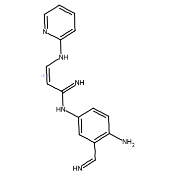 N=Cc1cc(NC(=N)/C=C\Nc2ccccn2)ccc1N